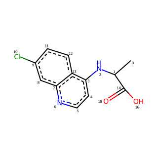 CC(Nc1ccnc2cc(Cl)ccc12)C(=O)O